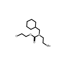 CC(C)(C)CCN(CC1CCCCC1)C(=O)OCCCl